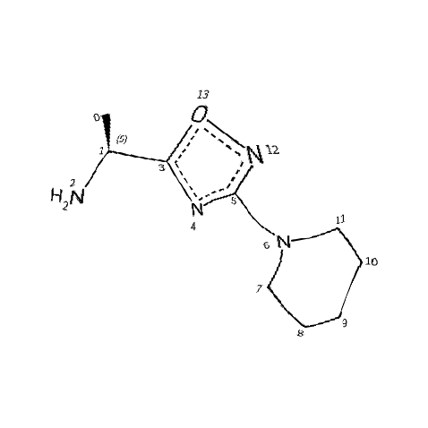 C[C@H](N)c1nc(N2CCCCC2)no1